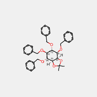 CC1(C)O[C@@H]2[C@H](OCc3ccccc3)[C@@H](OCc3ccccc3)[C@H](OCc3ccccc3)[C@@H](OCc3ccccc3)[C@@H]2O1